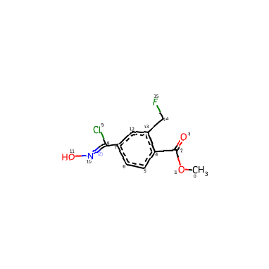 COC(=O)c1ccc(/C(Cl)=N/O)cc1CF